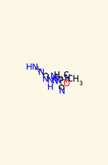 CN(C)C(=O)c1cc2cnc(Nc3ccc(N4CC5(CNC5)C4)cn3)nn2c1-c1ccncc1